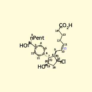 CCCCC[C@@H](O)c1ccc([C@@H]2[C@@H](C/C=C\CCCC(=O)O)[C@@H](Cl)C[C@H]2O)cc1